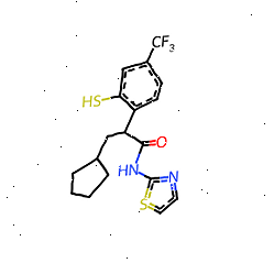 O=C(Nc1nccs1)C(CC1CCCC1)c1ccc(C(F)(F)F)cc1S